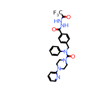 O=C(NNC(=O)C(F)(F)F)c1ccc(CN(C(=O)N2CCN(c3ccccn3)CC2)c2ccccc2)cc1